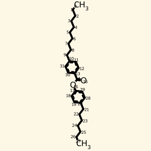 CCCCCCCCCCc1ccc(C(=O)Oc2ccc(CCCCCCC)cc2)cc1